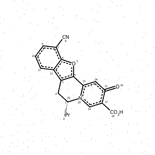 CC(C)[C@@H]1Cc2c(oc3c(C#N)cccc23)-c2cc(=O)c(C(=O)O)cn21